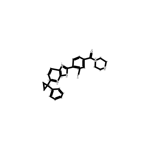 O=C(c1ccc(-c2nc3ccc(C4(c5ccccc5)CC4)nc3s2)c(F)c1)N1CCOCC1